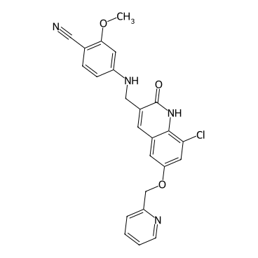 COc1cc(NCc2cc3cc(OCc4ccccn4)cc(Cl)c3[nH]c2=O)ccc1C#N